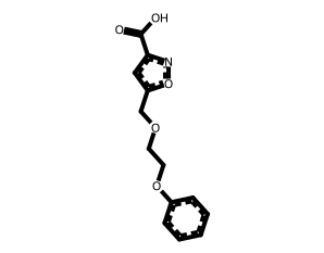 O=C(O)c1cc(COCCOc2ccccc2)on1